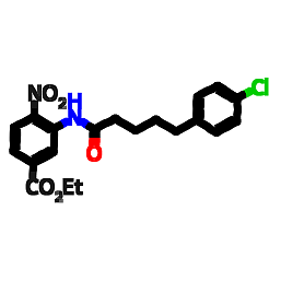 CCOC(=O)c1ccc([N+](=O)[O-])c(NC(=O)CCCCc2ccc(Cl)cc2)c1